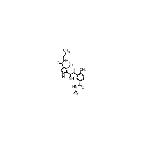 CCCNC(=O)c1c[nH]c(C(=N)Nc2cc(C(=O)NC3CC3)ccc2C)c1C